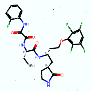 CC(C)(C)C[C@H](NC(=O)C(=O)Nc1ccccc1F)C(=O)N[C@H](CCOc1c(F)c(F)cc(F)c1F)C[C@@H]1CCNC1=O